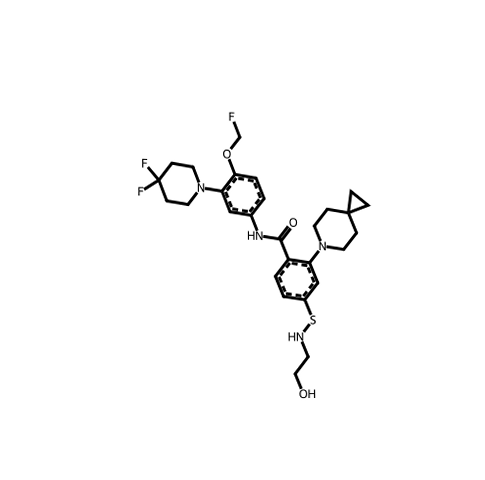 O=C(Nc1ccc(OCF)c(N2CCC(F)(F)CC2)c1)c1ccc(SNCCO)cc1N1CCC2(CC1)CC2